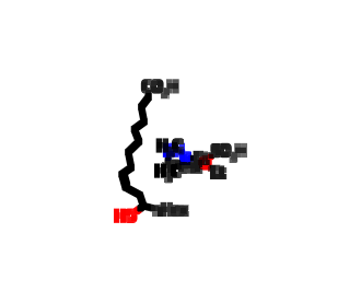 CCCCCCC(O)C/C=C\CCCCCCCC(=O)O.CCCCCN.CCN(C)C.CCOS(=O)(=O)O